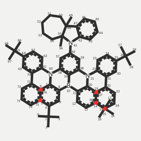 CC(C)(C)c1ccc2c(c1)B1c3ccc(C(C)(C)C)cc3N(c3ccc(C(C)(C)C)cc3-c3ccccc3)c3cc(N4c5ccccc5C5(C)CCCCCC45C)cc(c31)N2c1ccc(C(C)(C)C)cc1-c1ccccc1